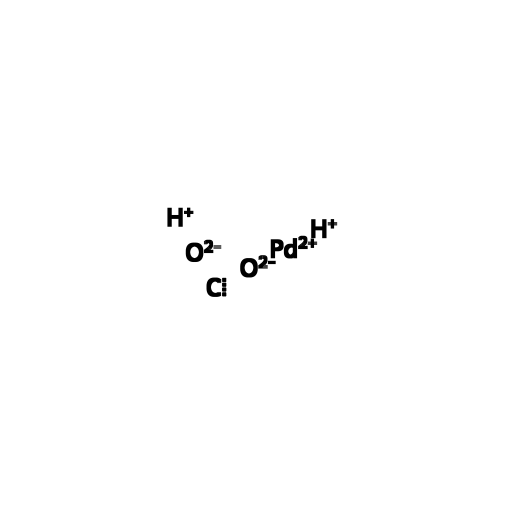 [C].[H+].[H+].[O-2].[O-2].[Pd+2]